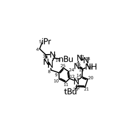 CCCCc1nc(CC(C)C)nn1Cc1ccc(-n2c(-c3nnn[nH]3)ccc2C(C)(C)C)cc1